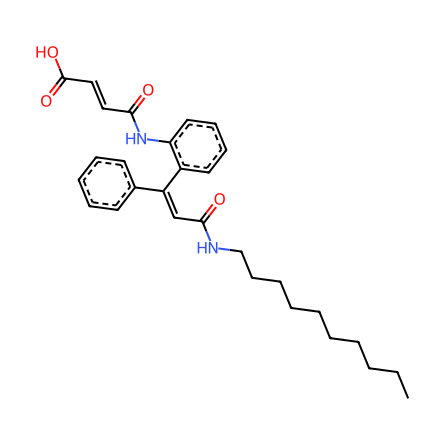 CCCCCCCCCCNC(=O)C=C(c1ccccc1)c1ccccc1NC(=O)C=CC(=O)O